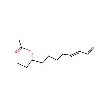 C=CC=CCCCCC(CC)OC(C)=O